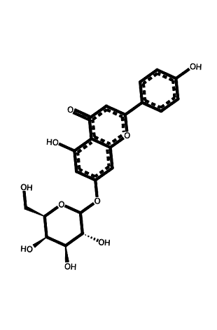 O=c1cc(-c2ccc(O)cc2)oc2cc(OC3O[C@H](CO)[C@H](O)[C@H](O)[C@H]3O)cc(O)c12